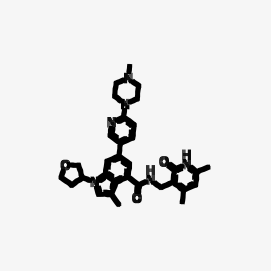 Cc1cc(C)c(CNC(=O)c2cc(-c3ccc(N4CCN(C)CC4)nc3)cc3c2c(C)cn3C2CCOC2)c(=O)[nH]1